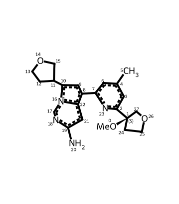 CO[C@]1(c2cc(C)cc(-c3cc(C4CCOC4)n4cnc(N)cc34)n2)CCOC1